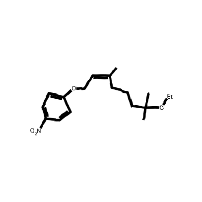 CCOC(C)(C)CCCC(C)=CCOc1ccc([N+](=O)[O-])cc1